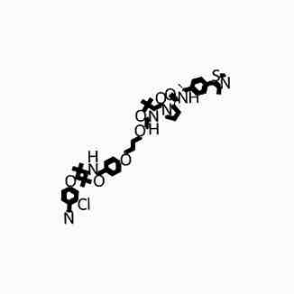 Cc1ncsc1-c1ccc([C@@H](C)NC(=O)[C@@H]2CCCN2C(=O)[C@@H](NC(=O)COCCCCOc2ccc(C(=O)N[C@H]3C(C)(C)[C@H](Oc4ccc(C#N)c(Cl)c4)C3(C)C)cc2)C(C)(C)C)cc1